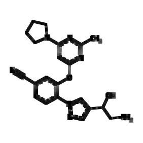 Cc1nc(Oc2cc(C#N)ccc2-n2cc(C(O)CN)cn2)cc(N2CCCC2)n1